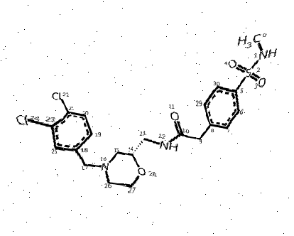 CNS(=O)(=O)c1ccc(CC(=O)NC[C@H]2CN(Cc3ccc(Cl)c(Cl)c3)CCO2)cc1